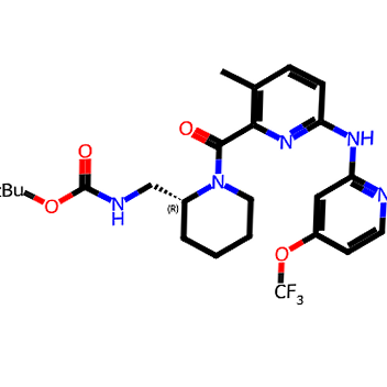 Cc1ccc(Nc2cc(OC(F)(F)F)ccn2)nc1C(=O)N1CCCC[C@@H]1CNC(=O)OC(C)(C)C